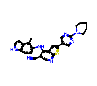 Cc1c(Nc2c(C#N)cnc3sc(-c4cnc(N5CCCCC5)nc4)cc23)ccc2[nH]ccc12